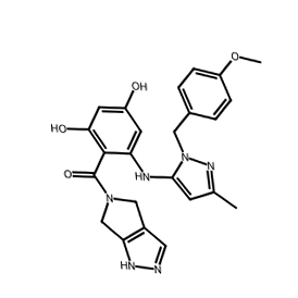 COc1ccc(Cn2nc(C)cc2Nc2cc(O)cc(O)c2C(=O)N2Cc3cn[nH]c3C2)cc1